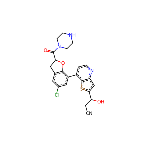 N#CCC(O)c1cc2nccc(-c3cc(Cl)cc4c3OC(C(=O)N3CCNCC3)C4)c2s1